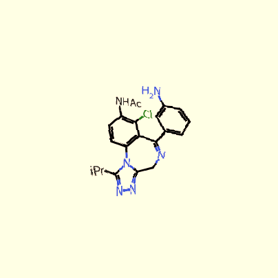 CC(=O)Nc1ccc2c(c1Cl)C(c1cccc(N)c1)=NCc1nnc(C(C)C)n1-2